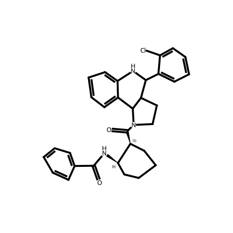 O=C(N[C@@H]1CCCC[C@@H]1C(=O)N1CCC2C(c3ccccc3Cl)Nc3ccccc3C21)c1ccccc1